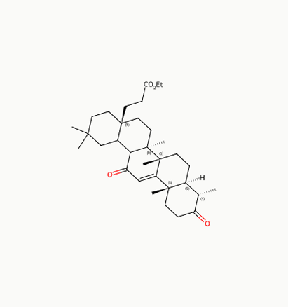 CCOC(=O)CC[C@]12CCC(C)(C)CC1C1C(=O)C=C3[C@@]4(C)CCC(=O)[C@@H](C)[C@@H]4CC[C@@]3(C)[C@]1(C)CC2